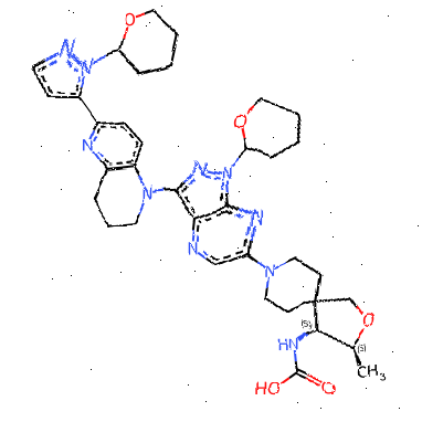 C[C@@H]1OCC2(CCN(c3cnc4c(N5CCCc6nc(-c7ccnn7C7CCCCO7)ccc65)nn(C5CCCCO5)c4n3)CC2)[C@@H]1NC(=O)O